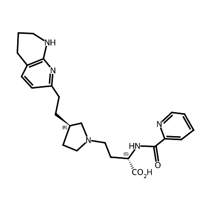 O=C(N[C@@H](CCN1CC[C@@H](CCc2ccc3c(n2)NCCC3)C1)C(=O)O)c1ccccn1